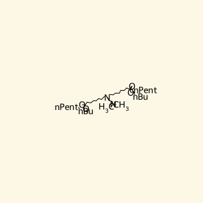 CCCCCC(CCCC)OC(=O)CCCCCCCN(CCCCCCCC(=O)OC(CCCC)CCCCC)CCN(C)C